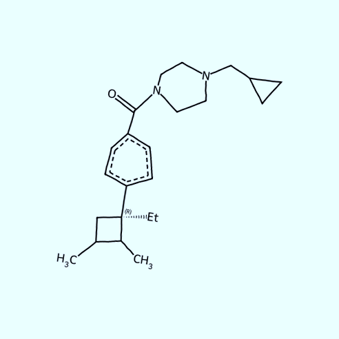 CC[C@@]1(c2ccc(C(=O)N3CCN(CC4CC4)CC3)cc2)CC(C)C1C